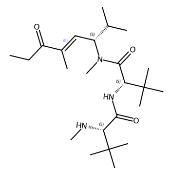 CCC(=O)/C(C)=C/[C@H](C(C)C)N(C)C(=O)[C@@H](NC(=O)[C@@H](NC)C(C)(C)C)C(C)(C)C